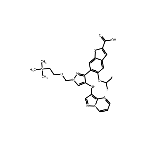 C[Si](C)(C)CCOCn1cc(Nc2cnn3cccnc23)c(-c2cc3sc(C(=O)O)cc3cc2OC(F)F)n1